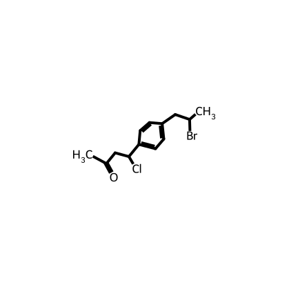 CC(=O)CC(Cl)c1ccc(CC(C)Br)cc1